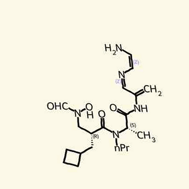 C=C(/C=N\C=C/N)NC(=O)[C@H](C)N(CCC)C(=O)[C@H](CC1CCC1)CN(O)C=O